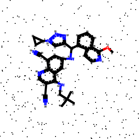 COc1nccc2c(C(Nc3cc(C#N)c4ncc(C#N)c(NCC(C)(C)C)c4c3)c3cn(C4CC4)nn3)cccc12